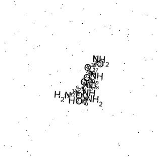 C[C@@H](O)[C@H](N)C(=O)N[C@@H](CCCCN)C(=O)N1CCC[C@H]1C(=O)N[C@H]([C]=O)CCC(N)=O